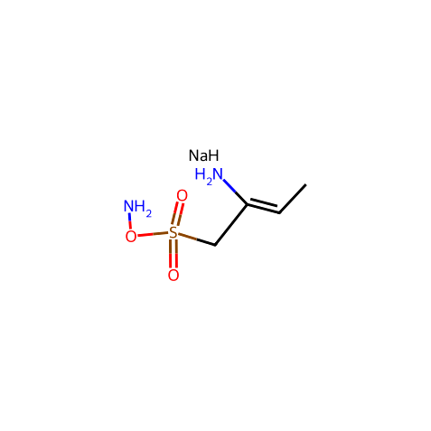 CC=C(N)CS(=O)(=O)ON.[NaH]